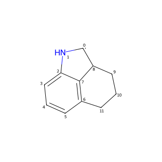 [CH]1Nc2cccc3c2C1CCC3